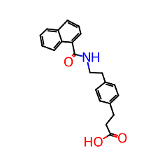 O=C(O)CCc1ccc(CCNC(=O)c2cccc3ccccc23)cc1